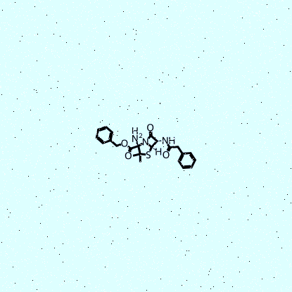 CC1(C)S[C@@H]2[C@@H](NC(=O)Cc3ccccc3)C(=O)N2[C@@]1(N)C(=O)OCc1ccccc1